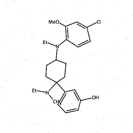 CCN(c1ccc(Cl)cc1OC)C1CCC(c2cccc(O)c2)(N(C)CC)CC1